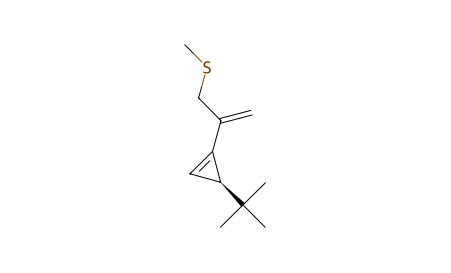 C=C(CSC)C1=C[C@@H]1C(C)(C)C